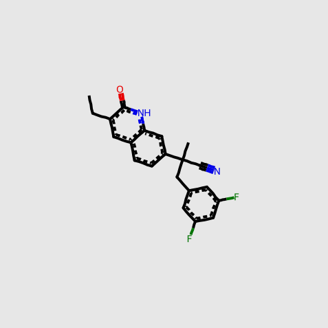 CCc1cc2ccc(C(C)(C#N)Cc3cc(F)cc(F)c3)cc2[nH]c1=O